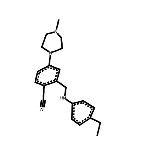 CCc1ccc(NCc2cc(N3CCN(C)CC3)ccc2C#N)cc1